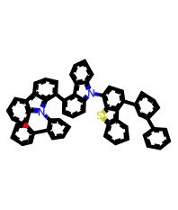 c1ccc(-c2cccc(-c3ccc(-n4c5ccccc5c5c(-c6cccc7c8ccccc8n(-c8ccccc8-c8ccccc8)c67)cccc54)c4sc5ccccc5c34)c2)cc1